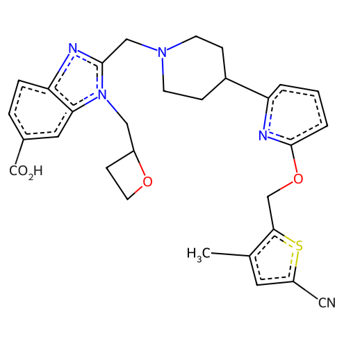 Cc1cc(C#N)sc1COc1cccc(C2CCN(Cc3nc4ccc(C(=O)O)cc4n3CC3CCO3)CC2)n1